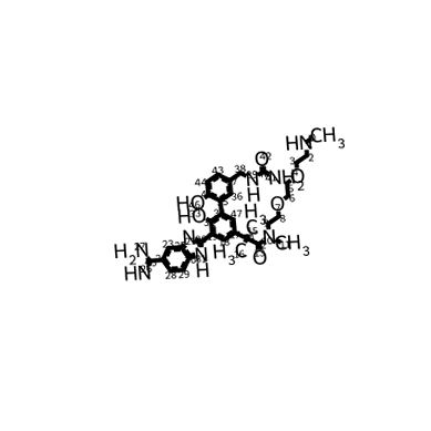 CNCCOCCOCCN(C)C(=O)C(C)(C)c1cc(-c2nc3cc(C(=N)N)ccc3[nH]2)c(O)c(-c2cc(CNC(N)=O)ccc2O)c1